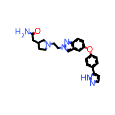 NC(=O)CC1CCN(CCn2cc3cc(Oc4ccc(-c5ccn[nH]5)cc4)ccc3n2)C1